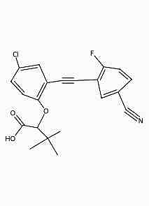 CC(C)(C)C(Oc1ccc(Cl)cc1C#Cc1cc(C#N)ccc1F)C(=O)O